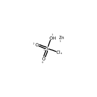 O=S(=O)(O)Cl.[Zn]